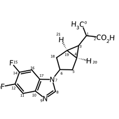 CC(C(=O)O)C1[C@H]2CC(n3cnc4cc(F)c(F)cc43)C[C@@H]12